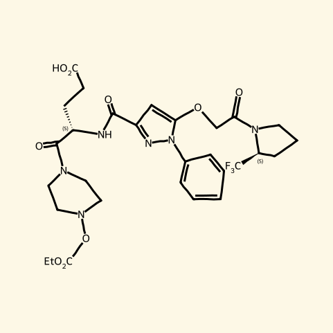 CCOC(=O)ON1CCN(C(=O)[C@H](CCC(=O)O)NC(=O)c2cc(OCC(=O)N3CCC[C@H]3C(F)(F)F)n(-c3ccccc3)n2)CC1